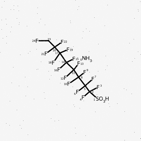 N.O=S(=O)(O)C(F)(F)C(F)(F)C(F)(F)C(F)(F)C(F)(F)C(F)(F)C(F)(F)CF